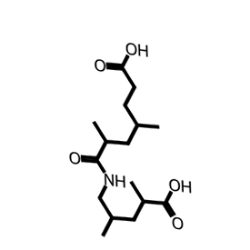 CC(CNC(=O)C(C)CC(C)CCC(=O)O)CC(C)C(=O)O